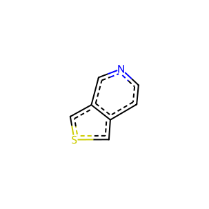 c1cc2cscc2cn1